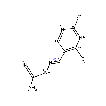 N=C(N)N/N=C/c1cnc(Cl)nc1Cl